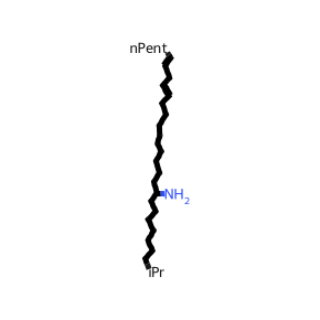 CCCCCC=CCC=CCCCCCCCCCC(N)CCCCCCCC(C)C